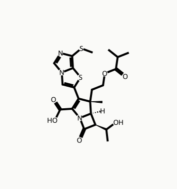 CSc1ncn2cc(C3=C(C(=O)O)N4C(=O)[C@H](C(C)O)[C@@H]4[C@@]3(C)CCOC(=O)C(C)C)sc12